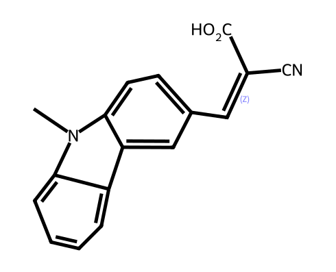 Cn1c2ccccc2c2cc(/C=C(/C#N)C(=O)O)ccc21